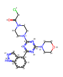 O=C(CCl)N1CCN(c2nc(-c3cccc4[nH]ncc34)nc(N3CCOCC3)n2)CC1